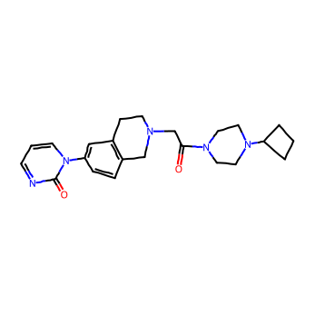 O=C(CN1CCc2cc(-n3cccnc3=O)ccc2C1)N1CCN(C2CCC2)CC1